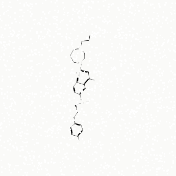 Cc1cc(N2CCCN(CCO)CC2)nc2ccc(NC(=O)CCc3ccc(Cl)cc3)cc12